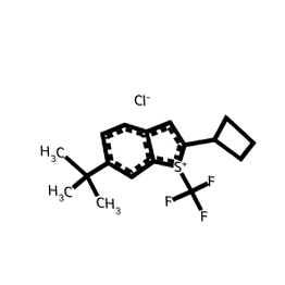 CC(C)(C)c1ccc2cc(C3CCC3)[s+](C(F)(F)F)c2c1.[Cl-]